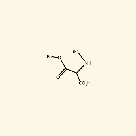 CC(C)NC(C(=O)O)C(=O)OC(C)(C)C